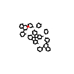 Cc1ccc(N(c2ccc(C)cc2)c2ccc(C3(c4ccc(N(c5ccc(C)cc5)c5ccc(C)cc5)cc4)c4cc(Nc5ccccc5-c5cccc6ccccc56)ccc4-c4ccc(Nc5ccccc5-c5cccc6ccccc56)cc43)cc2)cc1